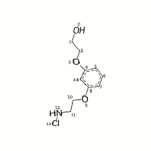 OCCOc1cccc(OCCNCl)c1